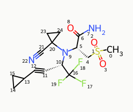 CS(=O)(=O)C[C@@H](C(N)=O)N([C@@H](C#CC1CC1)C(F)(F)F)C1(C#N)CC1